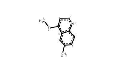 COc1cnnc2ccc(C)cc12